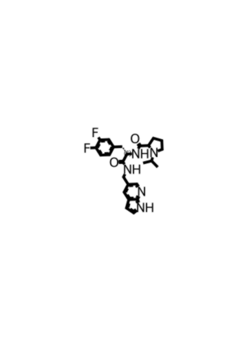 CC(C)N1CCCC1C(=O)N[C@@H](Cc1ccc(F)c(F)c1)C(=O)NCc1cnc2[nH]ccc2c1